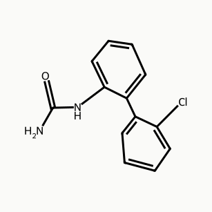 NC(=O)Nc1ccccc1-c1ccccc1Cl